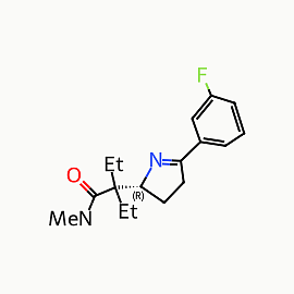 CCC(CC)(C(=O)NC)[C@H]1CCC(c2cccc(F)c2)=N1